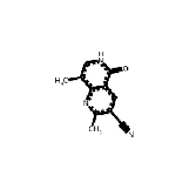 Cc1nc2c(C)c[nH]c(=O)c2cc1C#N